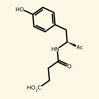 CC(=O)[C@H](Cc1ccc(O)cc1)NC(=O)CCC(=O)O